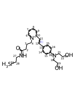 O=C(CCC[n+]1ccccc1/C=C/c1ccc(N(CCO)CCO)cc1)NCC[SiH3]